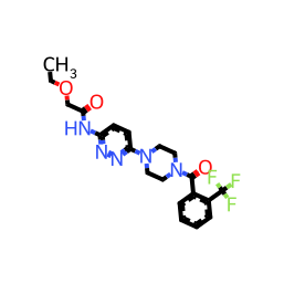 CCOCC(=O)Nc1ccc(N2CCN(C(=O)c3ccccc3C(F)(F)F)CC2)nn1